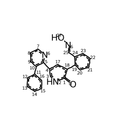 O=c1[nH]cc(-c2ncccc2-c2ccccc2)cc1-c1ccccc1C=NO